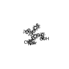 CC(C)(C)OC(=O)C1CCCN1COc1ccc2sccc2c1.O=C(O)N1CCCC1COc1ccc2sc(-c3nc(Cl)ncc3Br)cc2c1